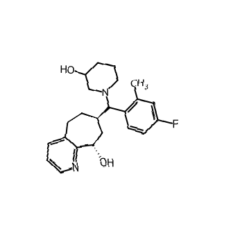 Cc1cc(F)ccc1C([C@@H]1CCc2cccnc2[C@@H](O)C1)N1CCCC(O)C1